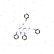 CC(N(CCNC(=O)OCc1ccccc1)Cc1ccccc1)N(CCNC(=O)OCc1ccccc1)Cc1ccccc1